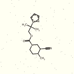 CC1CCN(C(=O)OCC(C)(C)n2cccn2)CC1C#N